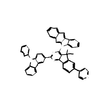 CC1(C)c2cc(-c3ccncc3)ccc2-c2nc(-c3ccc4c(c3)c3ccccc3n4-c3ccccc3)nc(-n3c4ccccc4c4cc5ccccc5cc43)c21